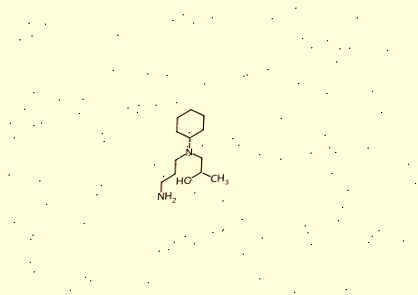 CC(O)CN(CCCN)C1CCCCC1